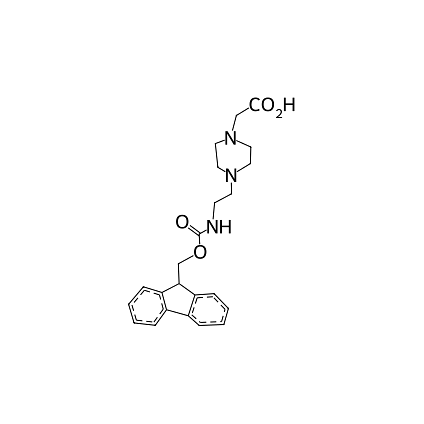 O=C(O)CN1CCN(CCNC(=O)OCC2c3ccccc3-c3ccccc32)CC1